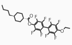 CCCC[C@H]1CC[C@H](C(=O)Oc2c(F)c(F)c(-c3c(F)c(F)c(OCC)c(F)c3F)c(F)c2F)CC1